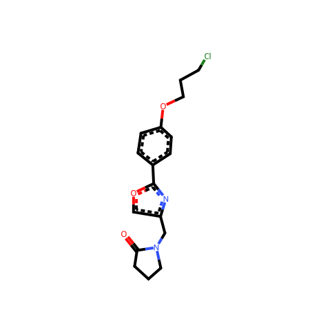 O=C1CCCN1Cc1coc(-c2ccc(OCCCCl)cc2)n1